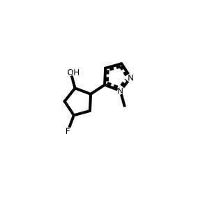 Cn1nccc1C1CC(F)CC1O